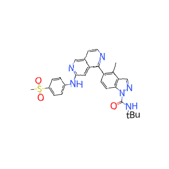 Cc1c(-c2nccc3cnc(Nc4ccc(S(C)(=O)=O)cc4)cc23)ccc2c1cnn2C(=O)NC(C)(C)C